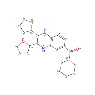 O=C(c1ccc2c(c1)NC(C1CCCO1)C(C1CCCO1)N2)C1CCCCC1